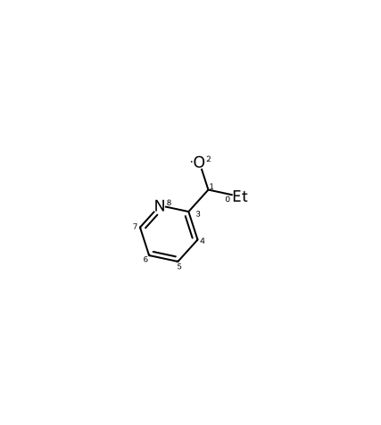 CCC([O])c1ccccn1